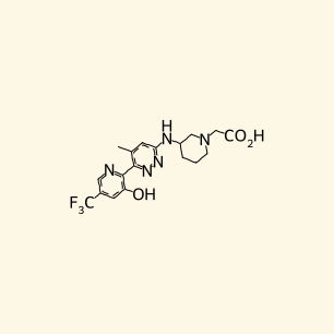 Cc1cc(NC2CCCN(CC(=O)O)C2)nnc1-c1ncc(C(F)(F)F)cc1O